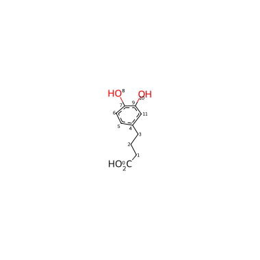 O=C(O)CCCc1ccc(O)c(O)c1